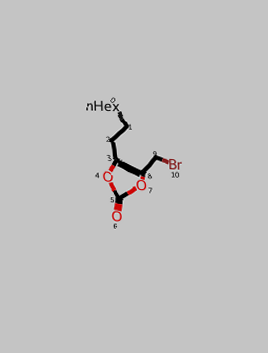 CCCCCCCCc1oc(=O)oc1CBr